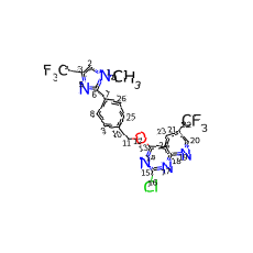 Cn1cc(C(F)(F)F)nc1-c1ccc(COc2nc(Cl)nc3ncc(C(F)(F)F)cc23)cc1